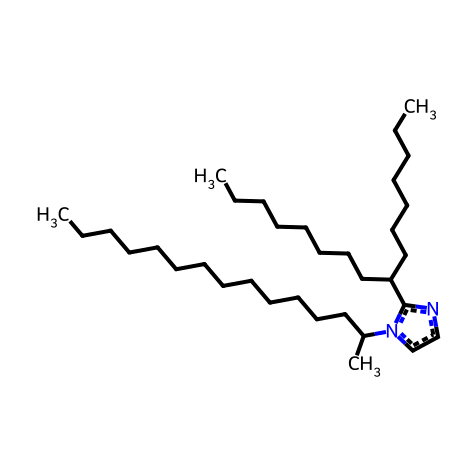 CCCCCCCCCCCCCC(C)n1ccnc1C(CCCCCCC)CCCCCCCC